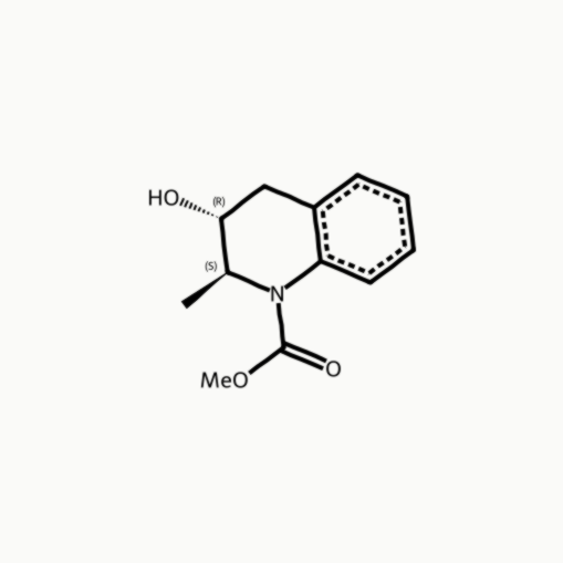 COC(=O)N1c2ccccc2C[C@@H](O)[C@@H]1C